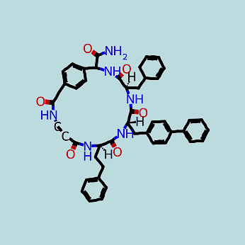 NC(=O)C1NC(=O)[C@@H](CC2C=CC=CC2)NC(=O)[C@H](Cc2ccc(-c3ccccc3)cc2)NC(=O)[C@@H](CCc2ccccc2)NC(=O)CCNC(=O)c2ccc1cc2